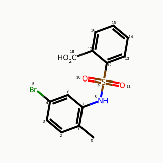 Cc1ccc(Br)cc1NS(=O)(=O)c1ccccc1C(=O)O